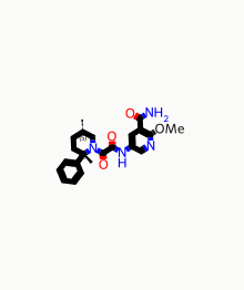 COc1ncc(NC(=O)C(=O)N2C[C@@H](C)CC[C@@]2(C)c2ccccc2)cc1C(N)=O